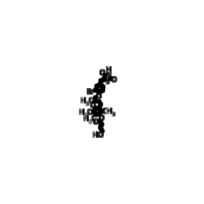 Cc1c(C)c2c(c(C)c1OC(=O)/C=C/CO)CCC(C)(COc1ccc(/C=C3\SC(=O)NC3=O)cc1Br)O2